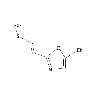 CCCSC=Cc1ncc(CC)o1